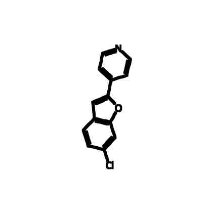 Clc1ccc2cc(-c3ccncc3)oc2c1